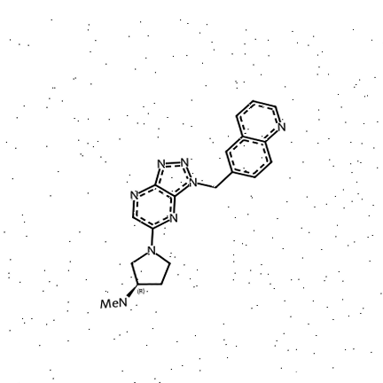 CN[C@@H]1CCN(c2cnc3nnn(Cc4ccc5ncccc5c4)c3n2)C1